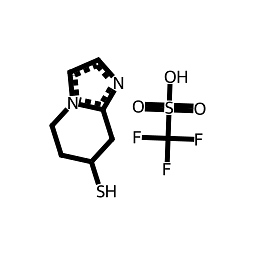 O=S(=O)(O)C(F)(F)F.SC1CCn2ccnc2C1